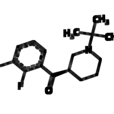 CC(C)(C)N1CCC[C@@H](C(=O)c2cccc(Cl)c2F)C1